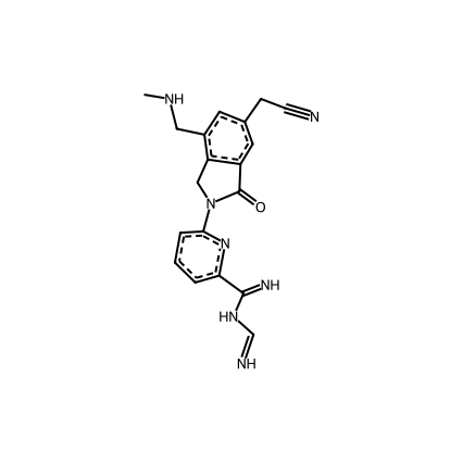 CNCc1cc(CC#N)cc2c1CN(c1cccc(C(=N)NC=N)n1)C2=O